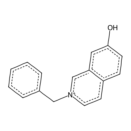 Oc1ccc2cc[n+](Cc3ccccc3)cc2c1